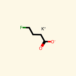 O=C([O-])CCCF.[K+]